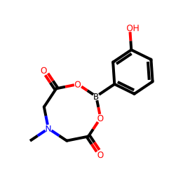 CN1CC(=O)OB(c2cccc(O)c2)OC(=O)C1